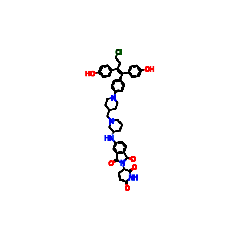 O=C1CCC(N2C(=O)c3ccc(N[C@H]4CCCN(CC5CCN(c6ccc(C(=C(CCCl)c7ccc(O)cc7)c7ccc(O)cc7)cc6)CC5)C4)cc3C2=O)C(=O)N1